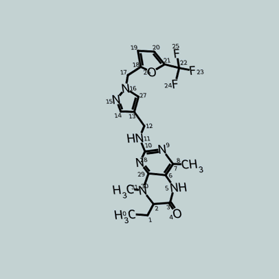 CCC1C(=O)Nc2c(C)nc(NCc3cnn(Cc4ccc(C(F)(F)F)o4)c3)nc2N1C